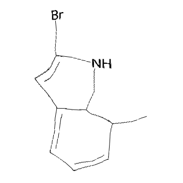 CC1C=CC=C2C=C(Br)NC21